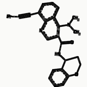 CC(C)C#Cc1cccc2c(N(C)C)c(C(=O)NC3CCOc4ccccc43)cnc12